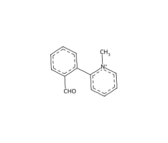 C[n+]1ccccc1-c1ccccc1C=O